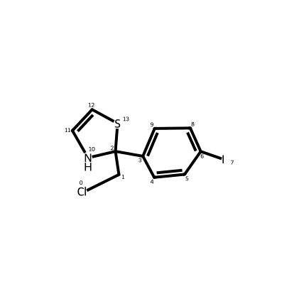 ClCC1(c2ccc(I)cc2)NC=CS1